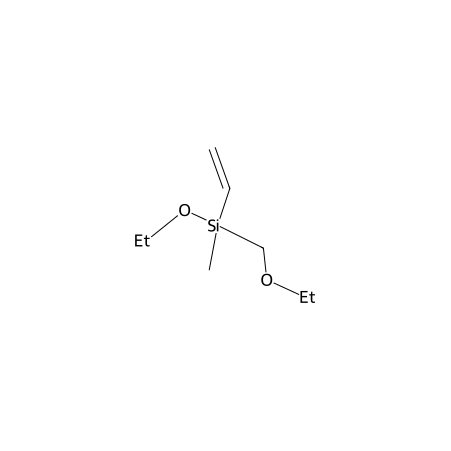 C=C[Si](C)(COCC)OCC